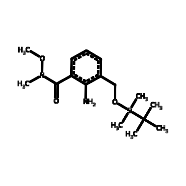 CON(C)C(=O)c1cccc(CO[Si](C)(C)C(C)(C)C)c1N